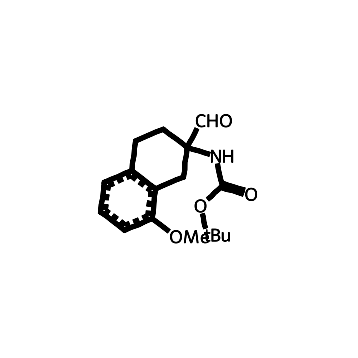 COc1cccc2c1CC(C=O)(NC(=O)OC(C)(C)C)CC2